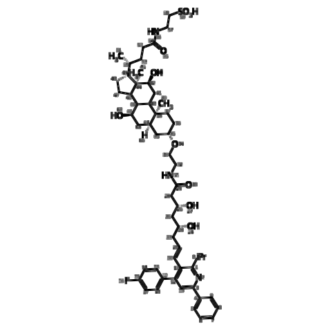 CC(C)c1nc(-c2ccccc2)cc(-c2ccc(F)cc2)c1/C=C/C[C@@H](O)C[C@@H](O)CC(=O)NCCO[C@H]1CC[C@]2(C)C3C[C@H](O)[C@@]4(C)C(CC[C@@H]4[C@H](C)CCC(=O)NCCS(=O)(=O)O)C3[C@H](O)C[C@@H]2C1